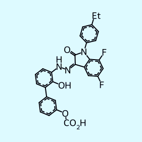 CCc1ccc(N2C(=O)C(=NNc3cccc(-c4cccc(OC(=O)O)c4)c3O)c3cc(F)cc(F)c32)cc1